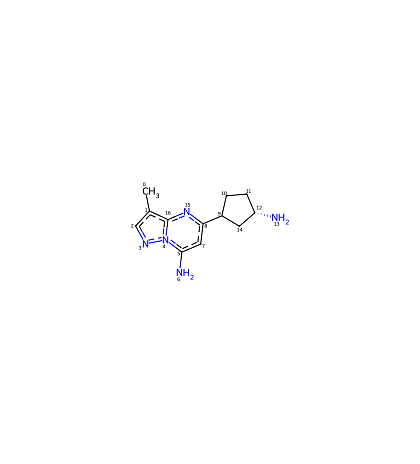 Cc1cnn2c(N)cc(C3CC[C@H](N)C3)nc12